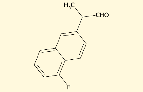 CC(C=O)c1ccc2c(F)cccc2c1